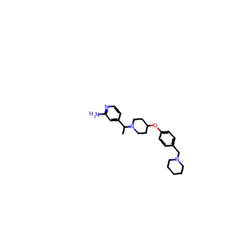 CC(c1ccnc(N)c1)N1CCC(Oc2ccc(CN3CCCCC3)cc2)CC1